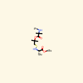 CC(C)NC(C)(C)C(=O)OC(C)(C)CSN[C@H](C(=O)OC(C)(C)C)C(C)(C)C